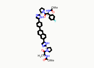 COC(=O)N[C@@H](C)C(=O)N1CCC[C@H]1c1ncc(-c2ccc3cc(-c4ccc(-c5cnc([C@@H]6CCCN6C(=O)[C@@H](NC(=O)OC)c6ccc(F)cc6)[nH]5)cc4)ccc3c2)[nH]1